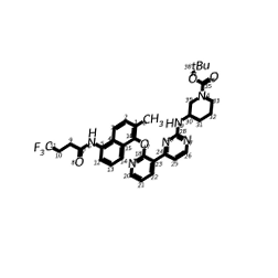 Cc1ccc2c(NC(=O)CCC(F)(F)F)cccc2c1Oc1ncccc1-c1ccnc(NC2CCCN(C(=O)OC(C)(C)C)C2)n1